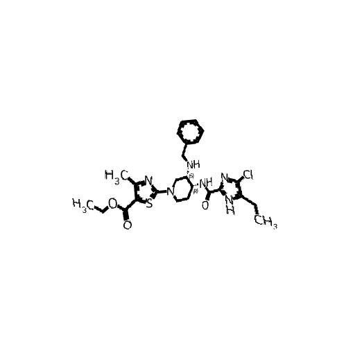 CCOC(=O)c1sc(N2CC[C@@H](NC(=O)c3nc(Cl)c(CC)[nH]3)[C@@H](NCc3ccccc3)C2)nc1C